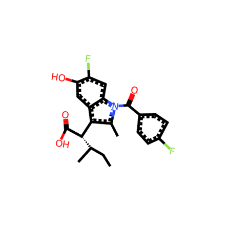 CCC(C)[C@H](C(=O)O)c1c(C)n(C(=O)c2ccc(F)cc2)c2cc(F)c(O)cc12